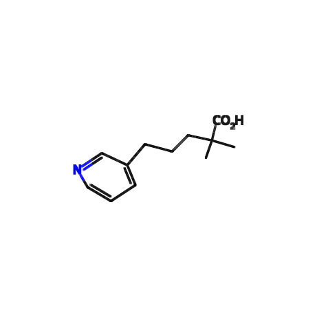 CC(C)(CCCc1cccnc1)C(=O)O